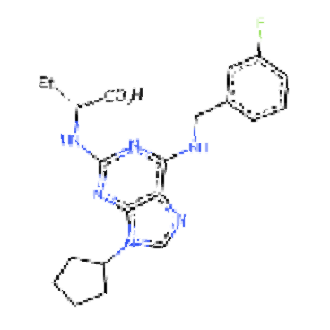 CC[C@@H](Nc1nc(NCc2cccc(F)c2)c2ncn(C3CCCC3)c2n1)C(=O)O